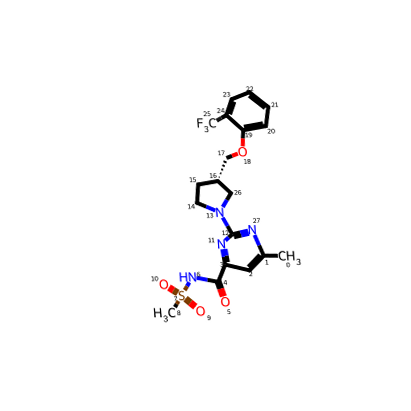 Cc1cc(C(=O)NS(C)(=O)=O)nc(N2CC[C@H](COc3ccccc3C(F)(F)F)C2)n1